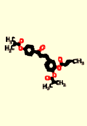 C=C(C)C(=O)Oc1ccc(C(=O)/C=C/c2ccc(OC(=O)C(=C)C)c(OC(=O)/C=C/C)c2)cc1